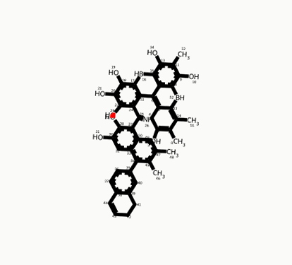 CC1=C(O)CC2=C3c4c(c(O)c(C)c(O)c4Bc4c(O)c(O)c(O)c(C(=N)c5c(O)c(O)cc6c(-c7ccc8c(c7)CCC=C8)c(C)c(C)cc56)c43)BC2=C1C